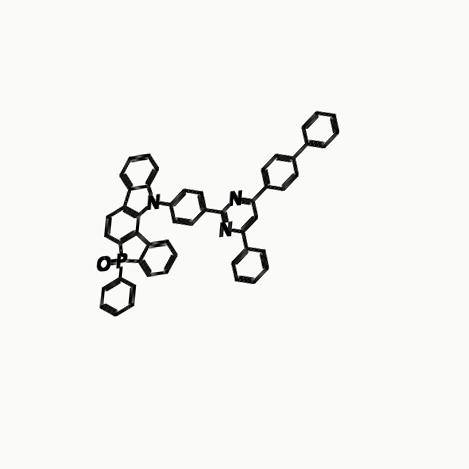 O=P1(c2ccccc2)c2ccccc2-c2c1ccc1c3ccccc3n(-c3ccc(-c4nc(-c5ccccc5)cc(-c5ccc(-c6ccccc6)cc5)n4)cc3)c21